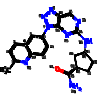 Cc1ccc2cc(-n3nnc4cnc(N[C@@H]5CC[C@@H](C(N)=O)C5)nc43)ccc2n1